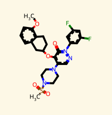 COc1cccc2c1CCC(Oc1c(N3CCN(S(C)(=O)=O)CC3)cnn(-c3cc(F)cc(F)c3)c1=O)C2